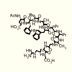 CCC[C@H](NC(=O)C(Cc1c[nH]c2ccccc12)NC(=O)[C@H](C)NC(=O)[C@@H](NC(=O)[C@H](Cc1ccccc1)NC(=O)[C@H](CCC(=O)O)NC(C)=O)[C@@H](C)CC)C(=O)NC(C(=O)NC(C)C(=O)NCC(=O)N[C@@H](CCCNC(=N)N)C(=O)NCC(=O)O)C(C)C